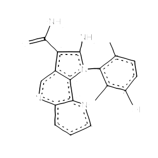 Cc1ccc(O)c(C)c1-n1c(N)c(C(N)=O)c2cnc3cccnc3c21